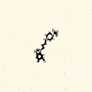 Cc1cc2nnn(CCCCN3CCN(C(F)(F)F)CC3)c2cc1C